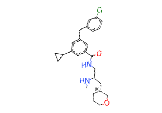 CNC(CNC(=O)c1cc(Cc2cccc(Cl)c2)cc(C2CC2)c1)C[C@H]1CCCOC1